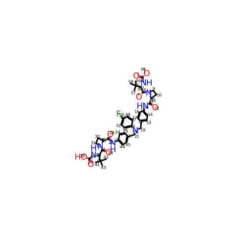 COC(=O)N[C@H](C(=O)N1CC[C@H]1C(=O)Nc1ccc(CN(Cc2ccc(NC(=O)[C@@H]3CCN3C(=O)[C@@H](NC(=O)O)C(C)(C)C)cc2)c2ccc(F)cc2)cc1)C(C)(C)C